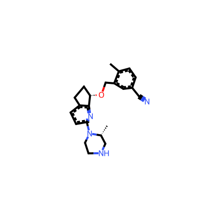 Cc1ccc(C#N)cc1CO[C@H]1CCc2ccc(N3CCNC[C@H]3C)nc21